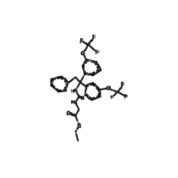 CCOC(=O)CNC(=O)NC(Cc1ccccc1)(c1cccc(OC(F)(F)F)c1)c1cccc(OC(F)(F)F)c1